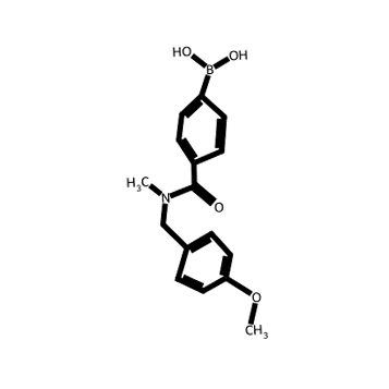 COc1ccc(CN(C)C(=O)c2ccc(B(O)O)cc2)cc1